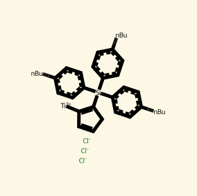 CCCCc1ccc([Si](C2=[C]([Ti+3])C=CC2)(c2ccc(CCCC)cc2)c2ccc(CCCC)cc2)cc1.[Cl-].[Cl-].[Cl-]